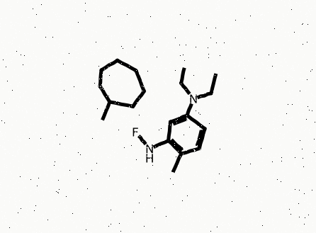 CC1CCCCCC1.CCN(CC)c1ccc(C)c(NF)c1